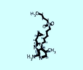 CCCCS(=O)(=O)CCCCCn1c(CC2CC2)nc2c(N)ncc(C)c21